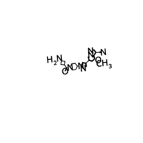 COc1cc(-c2cnn(C3CCN(C(=O)C4CC(N)C4)CC3)c2)cn2ncc(C#N)c12